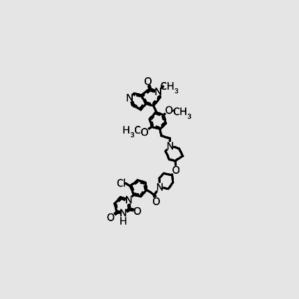 COc1cc(-c2cn(C)c(=O)c3cnccc23)c(OC)cc1CCN1CCC(OC2CCN(C(=O)c3ccc(Cl)c(-n4ccc(=O)[nH]c4=O)c3)CC2)CC1